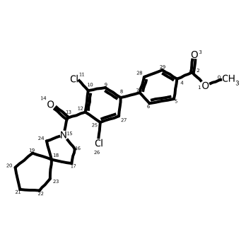 COC(=O)c1ccc(-c2cc(Cl)c(C(=O)N3CCC4(CCCCC4)C3)c(Cl)c2)cc1